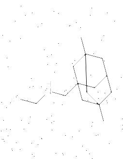 CC(C)CNCC12CC3CC(C)(CC(C)(C3)C1)C2